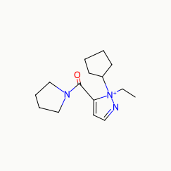 CC[N+]1(C2CCCC2)N=CC=C1C(=O)N1CCCC1